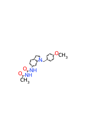 COc1ccc(Cn2ccc3ccc(NC(=O)NC(C)=O)cc32)cc1